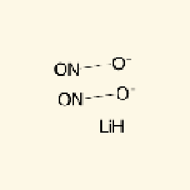 O=[NH+][O-].O=[NH+][O-].[LiH]